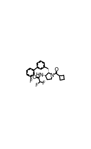 O=C(N[C@H]1CCN(C(=O)C2CCC2)[C@H]1Cc1cccc(-c2cccc(F)c2)c1)C(F)F